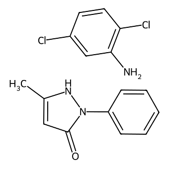 Cc1cc(=O)n(-c2ccccc2)[nH]1.Nc1cc(Cl)ccc1Cl